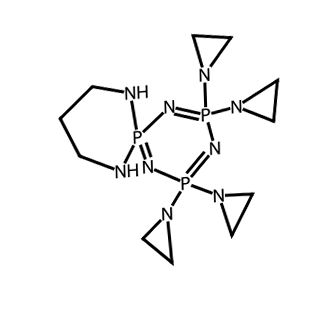 C1CNP2(=NP(N3CC3)(N3CC3)=NP(N3CC3)(N3CC3)=N2)NC1